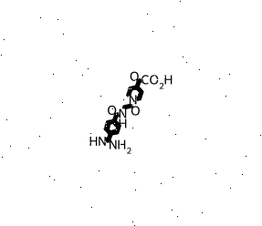 N=C(N)c1ccc(C(=O)NCC(=O)N2CCC(C(=O)C(=O)O)CC2)cc1